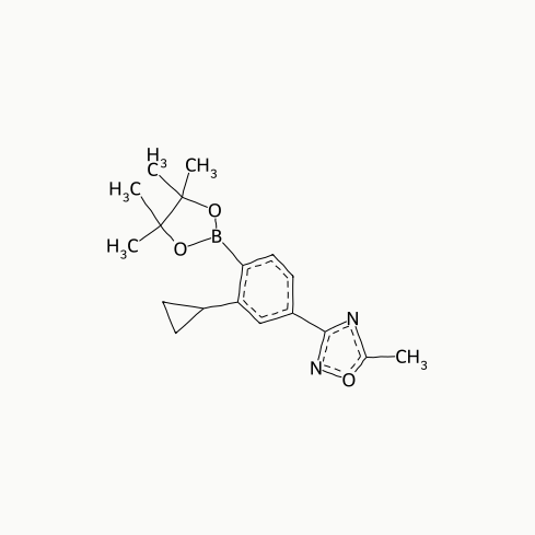 Cc1nc(-c2ccc(B3OC(C)(C)C(C)(C)O3)c(C3CC3)c2)no1